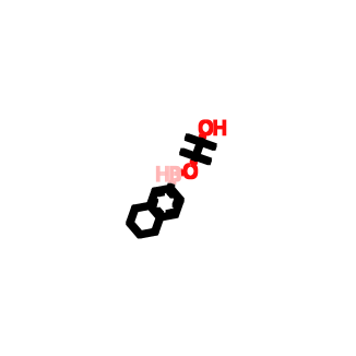 CC(C)(O)C(C)(C)OBc1ccc2c(c1)CCCC2